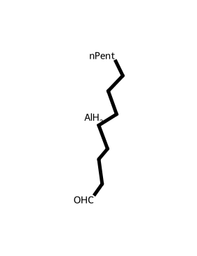 CCCCCCCCCCCCC=O.[AlH3]